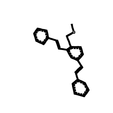 [CH2]OCc1ccc(C=Cc2ccccc2)cc1C=Cc1ccccc1